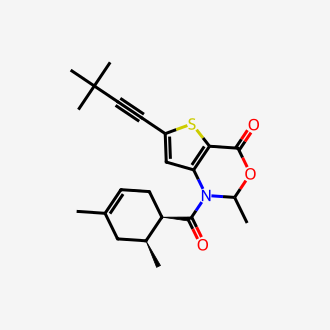 CC1=CC[C@@H](C(=O)N2c3cc(C#CC(C)(C)C)sc3C(=O)OC2C)[C@@H](C)C1